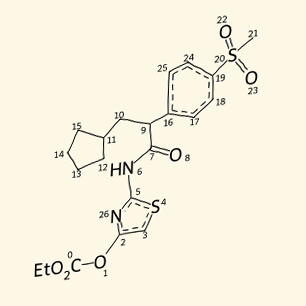 CCOC(=O)Oc1csc(NC(=O)C(CC2CCCC2)c2ccc(S(C)(=O)=O)cc2)n1